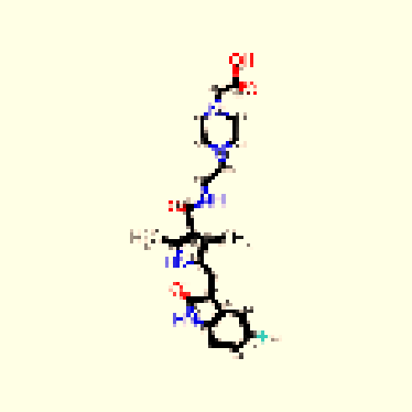 Cc1[nH]c(/C=C2\C(=O)Nc3ccc(F)cc32)c(C)c1C(=O)NCCN1CCN(CC(=O)O)CC1